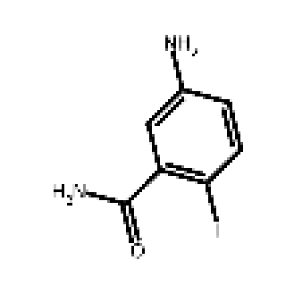 NC(=O)c1cc(N)ccc1I